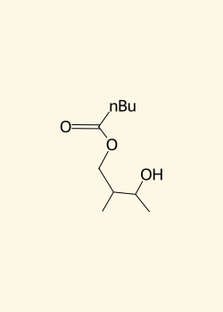 CCCCC(=O)OCC(C)C(C)O